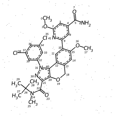 COc1cc(C(N)=O)cc(-c2cc3c(cc2OC)COc2c(C(=O)N(C)C(C)(C)C)nn(-c4cc(Cl)cc(Cl)c4)c2-3)n1